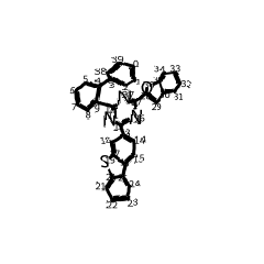 c1ccc(-c2ccccc2-c2nc(-c3ccc4c(c3)sc3ccccc34)nc(-c3cc4ccccc4o3)n2)cc1